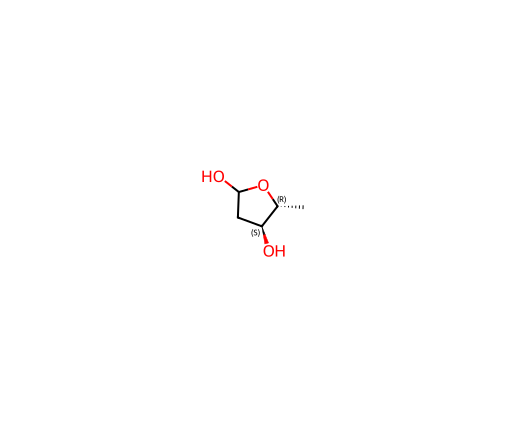 C[C@H]1OC(O)C[C@@H]1O